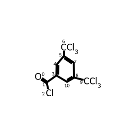 O=C(Cl)c1cc(C(Cl)(Cl)Cl)cc(C(Cl)(Cl)Cl)c1